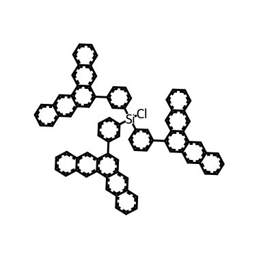 Cl[Si](c1cccc(-c2cc3cc4ccccc4cc3c3cc4ccccc4cc23)c1)(c1cccc(-c2cc3cc4ccccc4cc3c3cc4ccccc4cc23)c1)c1cccc(-c2cc3cc4ccccc4cc3c3cc4ccccc4cc23)c1